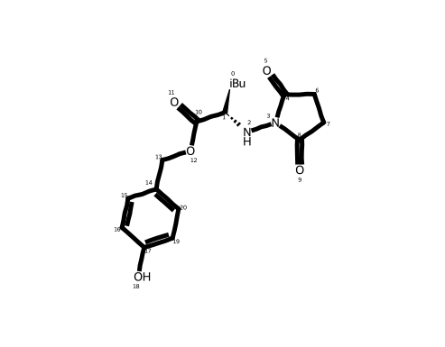 CC[C@H](C)[C@H](NN1C(=O)CCC1=O)C(=O)OCc1ccc(O)cc1